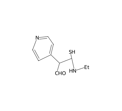 CCNC(S)C(C=O)c1ccncc1